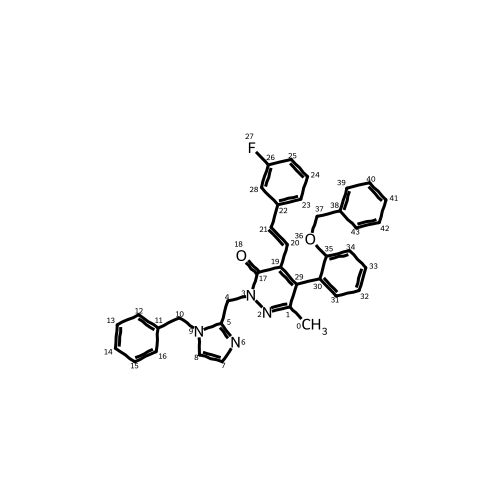 Cc1nn(Cc2nccn2Cc2ccccc2)c(=O)c(C=Cc2cccc(F)c2)c1-c1ccccc1OCc1ccccc1